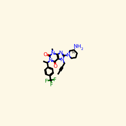 CC#CCn1c(N2CCC[C@@H](N)C2)nc2c1c(=O)n(C(C)c1ccc(C(F)(F)F)cc1)c(=O)n2C